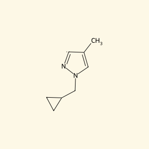 Cc1[c]nn(CC2CC2)c1